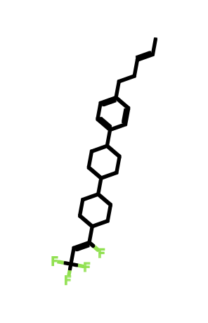 C/C=C/CCc1ccc(C2CCC(C3CCC(/C(F)=C/C(F)(F)F)CC3)CC2)cc1